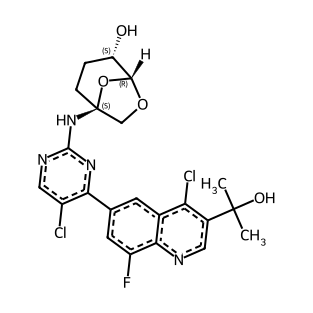 CC(C)(O)c1cnc2c(F)cc(-c3nc(N[C@]45CC[C@H](O)[C@H](OC4)O5)ncc3Cl)cc2c1Cl